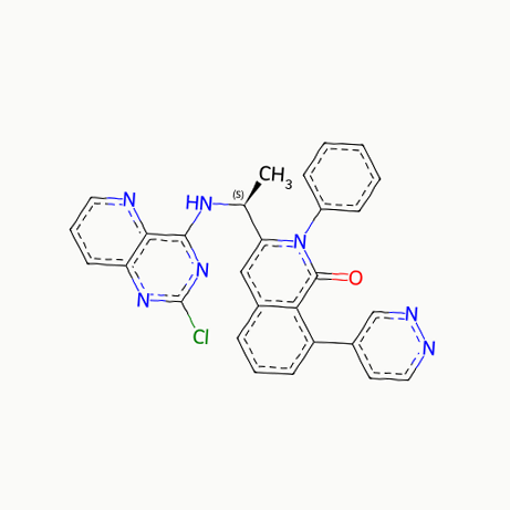 C[C@H](Nc1nc(Cl)nc2cccnc12)c1cc2cccc(-c3ccnnc3)c2c(=O)n1-c1ccccc1